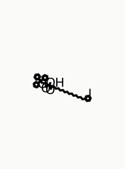 O=C(CCCCCCCCCCCCCCc1cccc(I)c1)C(O)C(=O)COC(c1ccccc1)(c1ccccc1)c1ccccc1